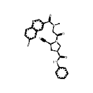 CN(CC(=O)N1CC(C(=O)Nc2ccccc2)CC1C#N)C(=O)c1cnc2ccc(F)cc2c1